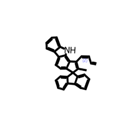 C=C/C=C\C1=C(C)C2(c3ccccc3-c3ccccc32)c2ccc3c([nH]c4ccccc43)c21